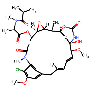 COc1cc2cc(c1Cl)N(C)C(=O)C[C@@H](OC(=O)[C@@H](C)N(C)C(=O)C(C)C)[C@@]1(C)O[C@@H]1[C@@H](C)[C@H]1C[C@](O)(NC(=O)O1)[C@@H](OC)/C=C/C=C(\C)C2